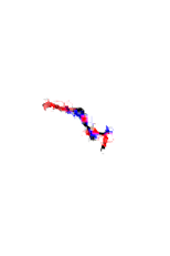 C=CCOC(=O)C(=C=c1sc(=C=CNc2cccc(NC(=O)COCCOC)n2)c(=O)n1CC)C#N